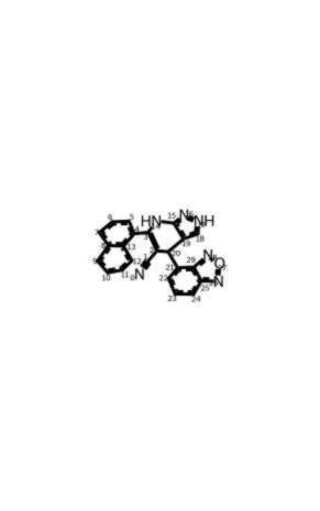 N#CC1=C(c2cccc3ccccc23)Nc2n[nH]cc2C1c1cccc2nonc12